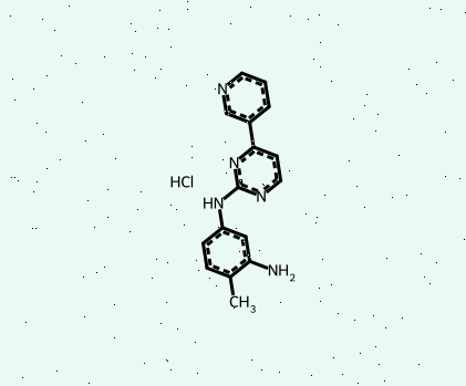 Cc1ccc(Nc2nccc(-c3cccnc3)n2)cc1N.Cl